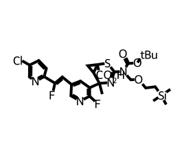 CC(C)(C)OC(=O)N(COCC[Si](C)(C)C)C1=NC(C)(c2cc(/C=C(\F)c3ccc(Cl)cn3)cnc2F)C2CC2(C(=O)O)S1